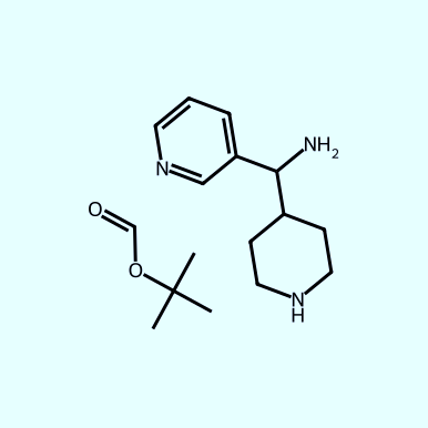 CC(C)(C)OC=O.NC(c1cccnc1)C1CCNCC1